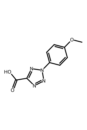 COc1ccc(-n2nnc(C(=O)O)n2)cc1